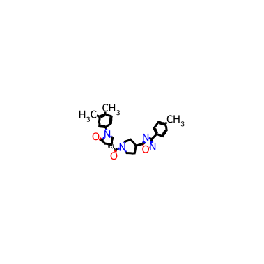 Cc1ccc(-c2noc(C3CCN(C(=O)[C@@H]4CC(=O)N(c5ccc(C)c(C)c5)C4)CC3)n2)cc1